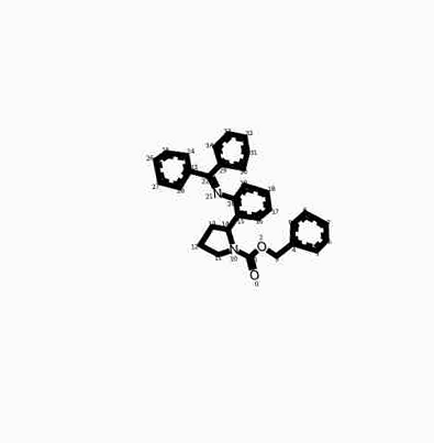 O=C(OCc1ccccc1)N1CCCC1c1ccccc1N=C(c1ccccc1)c1ccccc1